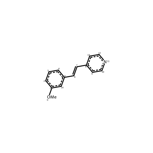 COc1[c]ccc(/C=C/c2ccncc2)c1